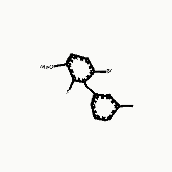 COc1ccc(Br)c(-c2cccc(C)c2)c1F